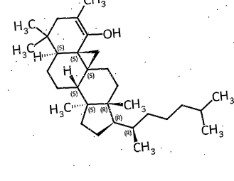 CC1=C(O)[C@]23C[C@]24CC[C@]2(C)[C@@H]([C@H](C)CCCC(C)C)CC[C@@]2(C)[C@@H]4CC[C@H]3C(C)(C)C1